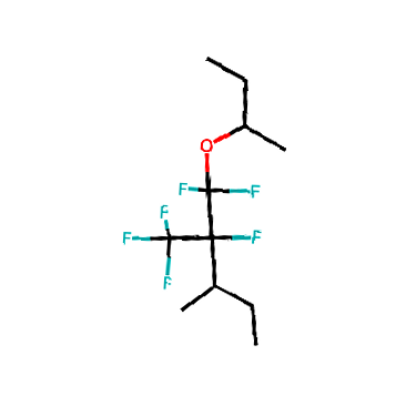 CCC(C)OC(F)(F)C(F)(C(C)CC)C(F)(F)F